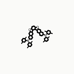 Cc1ccc(C)c(N(c2ccc3cc4c(cc3c2)oc2ccc3oc5cc6cc(N(c7cc(C)ccc7C)c7cc(C)ccc7C)ccc6cc5c3c24)c2cc(C)ccc2C)c1